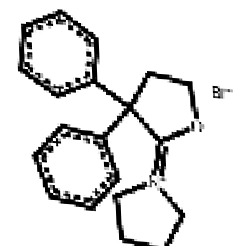 [Br-].c1ccc(C2(c3ccccc3)CCOC2=[N+]2CCCC2)cc1